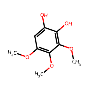 COc1cc(O)c(O)c(OC)c1OC